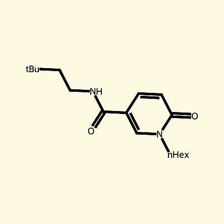 CCCCCCn1cc(C(=O)NCCC(C)(C)C)ccc1=O